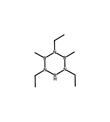 CCN1BN(CC)B(C)N(CC)B1C